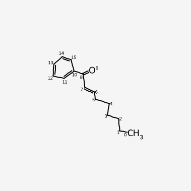 CCCCCCC=CC(=O)c1ccccc1